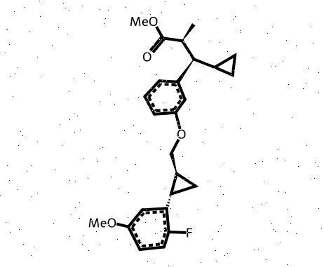 COC(=O)[C@@H](C)[C@H](c1cccc(OC[C@H]2C[C@@H]2c2cc(OC)ccc2F)c1)C1CC1